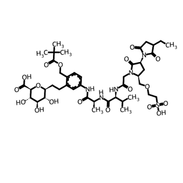 CCC1CC(=O)N([C@H]2C[C@@H](COCCS(=O)(=O)O)N(CC(=O)N[C@H](C(=O)N[C@@H](C)C(=O)Nc3ccc(COC(=O)C(C)(C)C)c(CC[C@@H]4O[C@H](C(=O)O)[C@@H](O)[C@H](O)[C@H]4O)c3)C(C)C)C2=O)C1=O